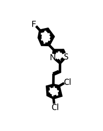 Fc1ccc(-c2csc(C=Cc3ccc(Cl)cc3Cl)n2)cc1